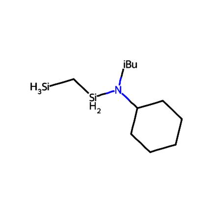 CCC(C)N([SiH2]C[SiH3])C1CCCCC1